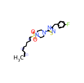 C/C=C\C=C/CC/C=C/S(=O)(=O)N1CCN(c2nc(Cc3ccc(F)cc3)ns2)CC1